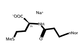 CCCCCCCCCCCC(=O)N[C@@H](CCSC)C(=O)[O-].[Na+]